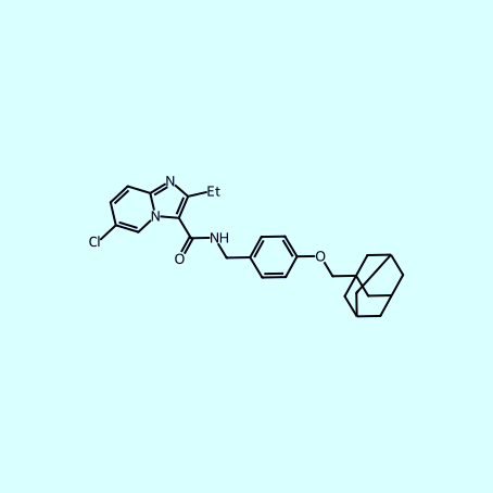 CCc1nc2ccc(Cl)cn2c1C(=O)NCc1ccc(OCC23CC4CC(CC(C4)C2)C3)cc1